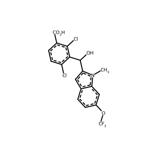 Cn1c(C(O)c2c(Cl)ccc(C(=O)O)c2Cl)cc2ccc(OC(F)(F)F)cc21